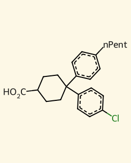 CCCCCc1ccc(C2(c3ccc(Cl)cc3)CCC(C(=O)O)CC2)cc1